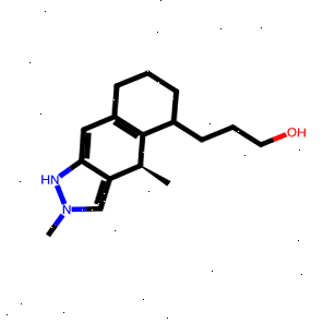 C[C@H]1C2=CN(C)NC2=CC2=C1C(CCCO)CCC2